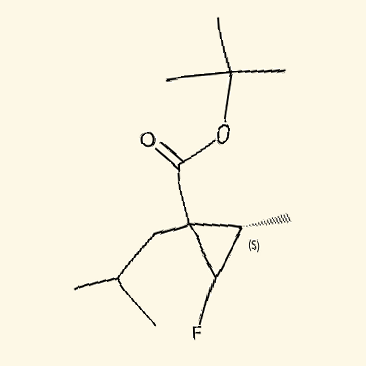 CC(C)CC1(C(=O)OC(C)(C)C)C(F)[C@H]1C